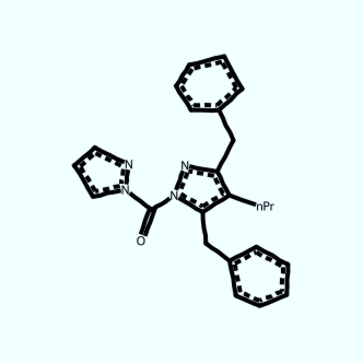 CCCc1c(Cc2ccccc2)nn(C(=O)n2cccn2)c1Cc1ccccc1